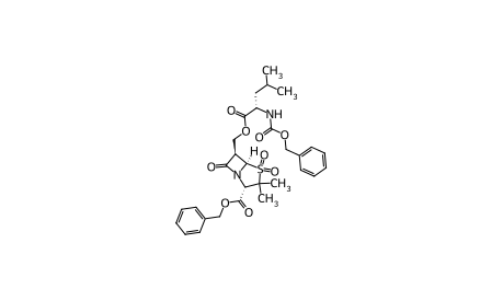 CC(C)C[C@H](NC(=O)OCc1ccccc1)C(=O)OC[C@@H]1C(=O)N2[C@@H](C(=O)OCc3ccccc3)C(C)(C)S(=O)(=O)[C@H]12